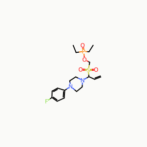 C=CC(N1CCN(c2ccc(F)cc2)CC1)S(=O)(=O)COP(=O)(CC)CC